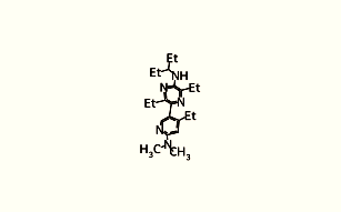 CCc1cc(N(C)C)ncc1-c1nc(CC)c(NC(CC)CC)nc1CC